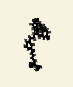 CN(C)C(=O)CCCCOc1cccc(CCCC2CC3CC(=O)CC[C@]3(C)[C@@H]3CC[C@]4(C)C(O)CC[C@H]4[C@H]23)c1